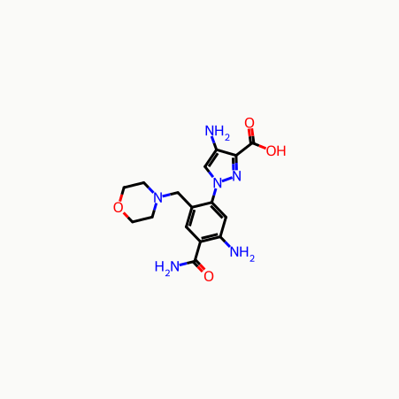 NC(=O)c1cc(CN2CCOCC2)c(-n2cc(N)c(C(=O)O)n2)cc1N